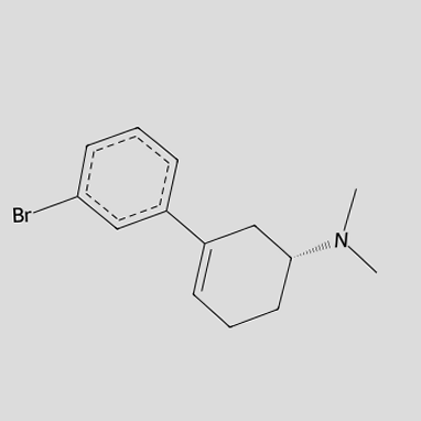 CN(C)[C@@H]1CCC=C(c2cccc(Br)c2)C1